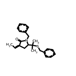 CC=C1CC(C(C)(C)SCc2ccccc2)N(Cc2ccccc2)C1=O